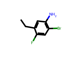 CCc1cc(N)c(Br)cc1F